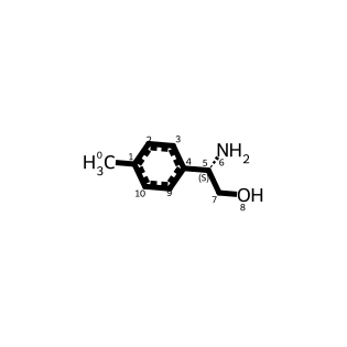 Cc1ccc([C@H](N)CO)cc1